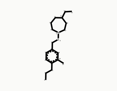 CCCc1ccc(CSN2CCCC(CC)CC2)cc1C